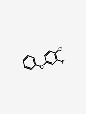 Fc1cc(Oc2ccccc2)ccc1Cl